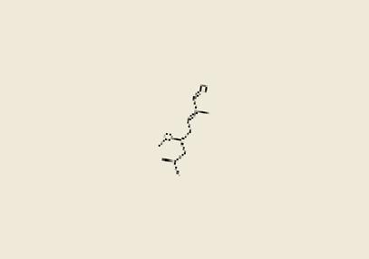 COC(C/C=C(\C)C=O)CC(C)C